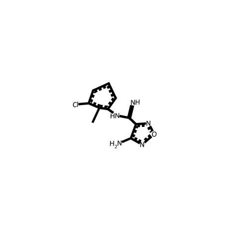 Cc1c(Cl)cccc1NC(=N)c1nonc1N